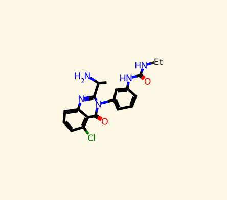 CCNC(=O)Nc1cccc(-n2c(C(C)N)nc3cccc(Cl)c3c2=O)c1